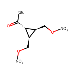 CC(C)(C)C(=O)[C@H]1[C@H](CO[N+](=O)[O-])[C@@H]1CO[N+](=O)[O-]